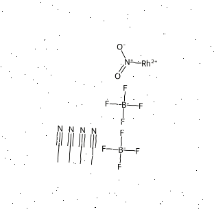 CC#N.CC#N.CC#N.CC#N.F[B-](F)(F)F.F[B-](F)(F)F.O=[N+]([O-])[Rh+2]